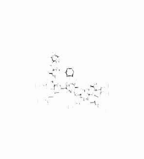 CC(C)C[C@H](NC(=O)[C@H](Cc1ccccc1)NC(=O)[C@H](CCCCN)NC(=O)[C@H](CC(C)C)NC(=O)[C@@H](N)Cc1c[nH]cn1)C(=O)N[C@@H](CC(N)=O)C(=O)N[C@H](C(=O)O)C(C)C